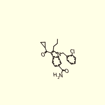 CCCc1c(C(=O)C2CC2)c2ccc(C(N)=O)cc2n1Cc1ccccc1Cl